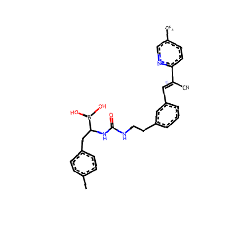 Cc1ccc(CC(NC(=O)NCCc2cccc(/C=C(\C#N)c3ccc(C(F)(F)F)cn3)c2)B(O)O)cc1